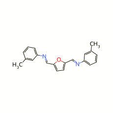 Cc1cccc(N=Cc2ccc(C=Nc3cccc(C)c3)o2)c1